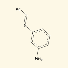 CC(=O)/C=N/c1cccc(N)c1